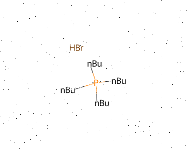 Br.CCCC[P](CCCC)(CCCC)CCCC